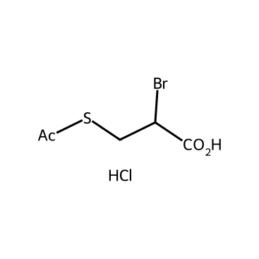 CC(=O)SCC(Br)C(=O)O.Cl